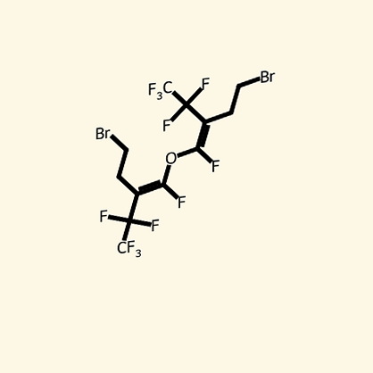 FC(OC(F)=C(CCBr)C(F)(F)C(F)(F)F)=C(CCBr)C(F)(F)C(F)(F)F